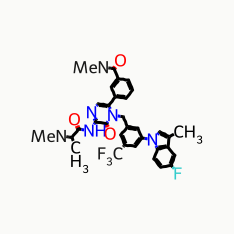 CNC(=O)c1cccc(-c2cnc(NC(=O)C(C)NC)c(=O)n2Cc2cc(-n3cc(C)c4cc(F)ccc43)cc(C(F)(F)F)c2)c1